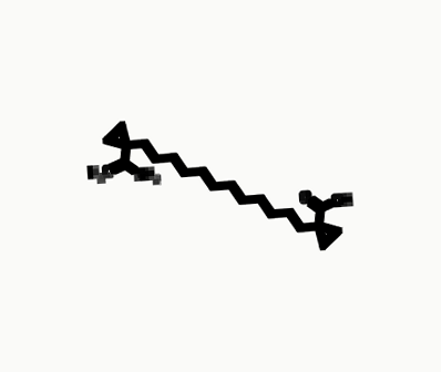 C=C(N)C1(CCCCCCCCCCCCC2(C(=O)O)CC2)CC1